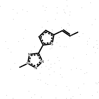 [CH2]/C=C/c1ccc(-c2nnn(C)n2)s1